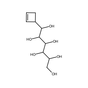 OCC(O)C(O)C(O)C(O)C(O)C1C=CC1